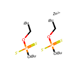 CCC(C)COP(=S)([S-])OCC(C)C.CCC(C)COP(=S)([S-])OCC(C)C.[Zn+2]